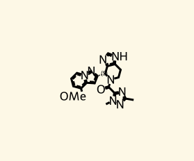 COc1cccn2nc([C@@H]3c4nc[nH]c4CCN3C(=O)c3nc(C)nn3C)cc12